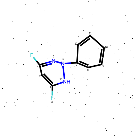 FC1=CC(F)=NN(c2ccccc2)N1